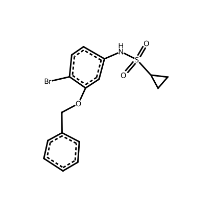 O=S(=O)(Nc1ccc(Br)c(OCc2ccccc2)c1)C1CC1